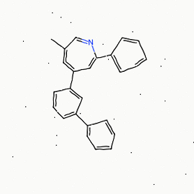 CC1=C=C(c2cccc(-c3ccccc3)c2)C=C(c2ccccc2)N=C1